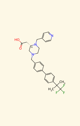 CC(C)(c1ccc(-c2ccc(CN3CCN(Cc4ccncc4)[C@@H](CC(=O)O)C3)cc2)cc1)C(F)(F)F